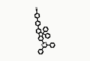 N#Cc1ccc(-c2ccc(-c3ccc4c(c3)C(c3ccccc3)(c3ccccc3)c3cc(-c5nc(-c6ccccc6)cc(-c6ccccc6)n5)ccc3-4)cc2)cc1